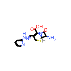 NC1C(=O)N2C(C(=O)O)=C(/C=N/Nc3ccccn3)CS[C@H]12